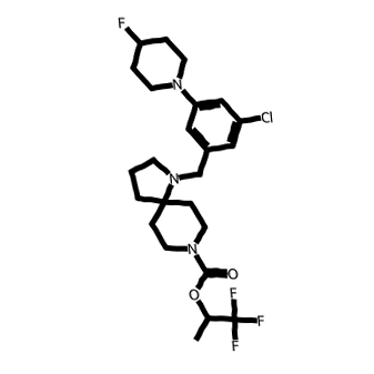 CC(OC(=O)N1CCC2(CCCN2Cc2cc(Cl)cc(N3CCC(F)CC3)c2)CC1)C(F)(F)F